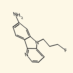 Nc1ccc2c3ncccc3n(CCCF)c2c1